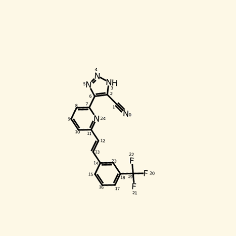 N#Cc1[nH]nnc1-c1cccc(/C=C/c2cccc(C(F)(F)F)c2)n1